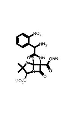 COC(=O)[C@]1(NC(=O)C(N)c2ccccc2[N+](=O)[O-])C(=O)N2[C@@H](C(=O)O)C(C)(C)S[C@@H]21